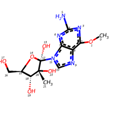 COc1nc(N)nc2c1ncn2[C@]1(O)O[C@H](CO)[C@@H](O)[C@@]1(C)O